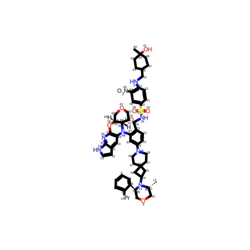 CC(C)c1ccccc1[C@@H]1COC[C@@H](C)N1C1CC2(CCN(c3ccc(C(=O)NS(=O)(=O)c4ccc(NCC5CCC(C)(O)CC5)c([N+](=O)[O-])c4)c(N4c5cc6cc[nH]c6nc5O[C@H]5COCC[C@@H]54)c3)CC2)C1